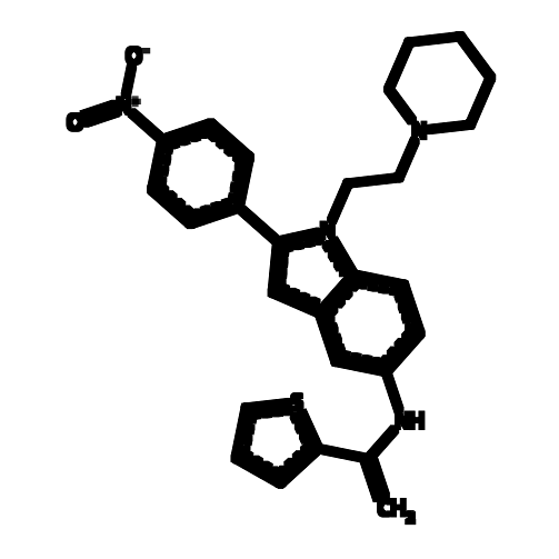 C=C(Nc1ccc2c(c1)cc(-c1ccc([N+](=O)[O-])cc1)n2CCN1CCCCC1)c1cccs1